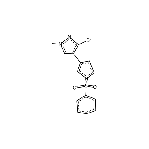 Cn1cc(-c2ccn(S(=O)(=O)c3ccccc3)c2)c(Br)n1